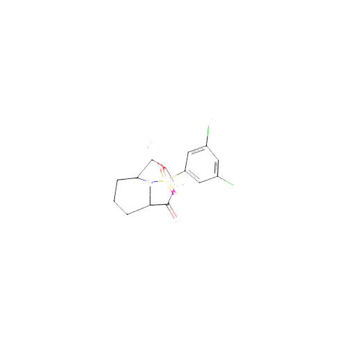 O=C1NC[C@@H](O)C2CCCC1N2S(=O)(=O)c1cc(Cl)cc(Cl)c1